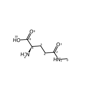 CNC(=O)CC[C@@H](N)C(=O)O